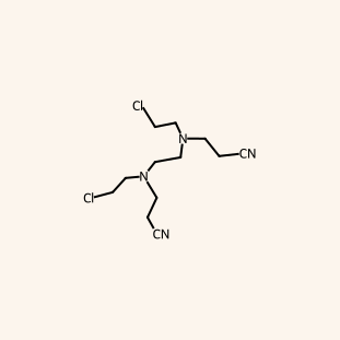 N#CCCN(CCCl)CCN(CCCl)CCC#N